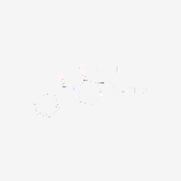 O=CCC[C@@]1(C(=O)O)CCCN(C(=O)c2ccccc2)C1=O